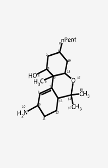 CCCCCC1CC(O)C2(C)C3=CC(N)CCC3C(C)(C)OC2C1